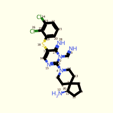 N=Cn1c(N2CCC3(CCC[C@H]3N)CC2)ncc(Sc2cccc(Cl)c2Cl)c1=N